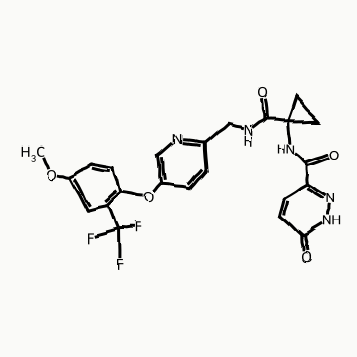 COc1ccc(Oc2ccc(CNC(=O)C3(NC(=O)c4ccc(=O)[nH]n4)CC3)nc2)c(C(F)(F)F)c1